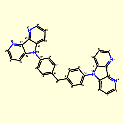 c1cnc2c3ncccc3n(-c3ccc(Cc4ccc(-n5c6cccnc6c6ncccc65)cc4)cc3)c2c1